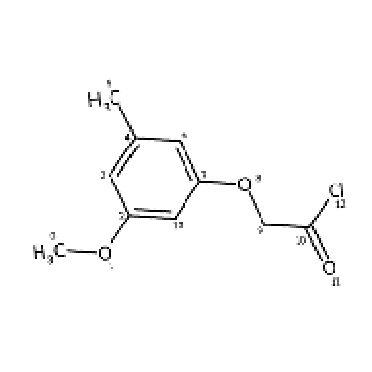 COc1cc(C)cc(OCC(=O)Cl)c1